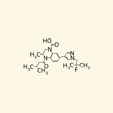 CC(C)CC(=O)N1c2ccc(-c3cnn(CC(C)(C)F)c3)cc2N(C(=O)O)C[C@@H]1C